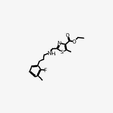 CCOC(=O)c1nc(CNCCCc2cccc(C)c2F)sc1C